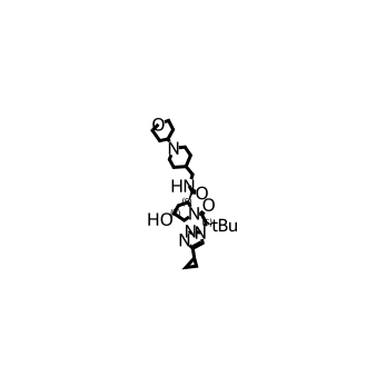 CC(C)(C)[C@@H](C(=O)N1C[C@H](O)C[C@H]1C(=O)NCC1CCN(C2CCOCC2)CC1)n1cc(C2CC2)nn1